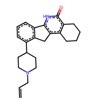 C=CCN1CCC(c2cccc3c2Cc2c-3[nH]c(=O)c3c2CCCC3)CC1